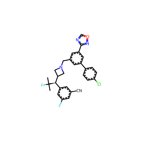 CC(C)(F)[C@H](c1cc(F)cc(C#N)c1)C1CN(Cc2cc(-c3ccc(Cl)cc3)cc(-c3ncon3)c2)C1